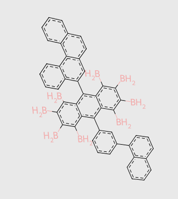 Bc1c(B)c(B)c2c(-c3cc4ccc5ccccc5c4c4ccccc34)c3c(B)c(B)c(B)c(B)c3c(-c3cccc(-c4cccc5ccccc45)c3)c2c1B